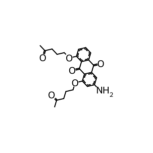 CC(=O)CCCOc1cccc2c1C(=O)c1c(OCCCC(C)=O)cc(N)cc1C2=O